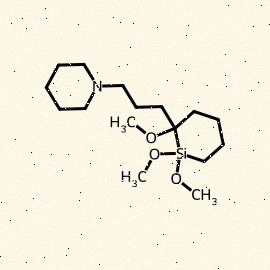 COC1(CCCN2CCCCC2)CCCC[Si]1(OC)OC